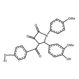 CCOc1ccc(C(=O)C2C(=O)C(=O)N(c3ccc(OC)cc3)C2c2ccc(O)c(OC)c2)cc1